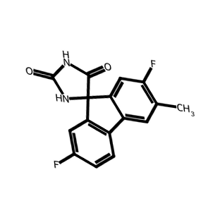 Cc1cc2c(cc1F)C1(NC(=O)NC1=O)c1cc(F)ccc1-2